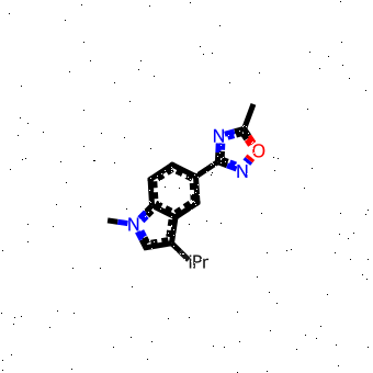 Cc1nc(-c2ccc3c(c2)c(C(C)C)cn3C)no1